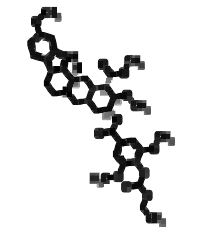 CCOC(=O)Oc1c(OC)cc(C(=O)O[C@@H]2CC3CN4CCc5c([nH]c6cc(OC)ccc56)[C@H]4CC3[C@H](C(=O)OC)[C@H]2OC)cc1OC